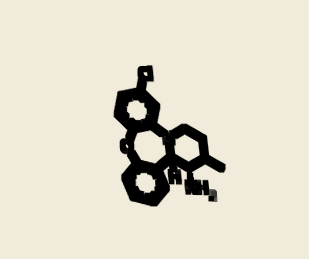 CC1CCN2c3cc(Cl)ccc3Oc3ccccc3[C@H]2[C@H]1N